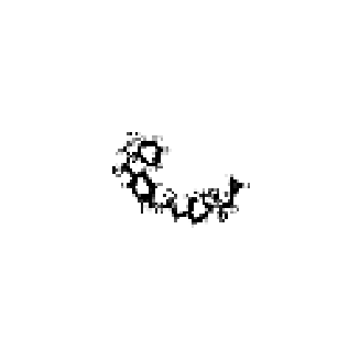 O=C(Cc1ccc(S(=O)(=O)CC2CC2)nc1)Nc1ccc(C(=O)N(CC(F)(F)F)c2ccccc2)cc1